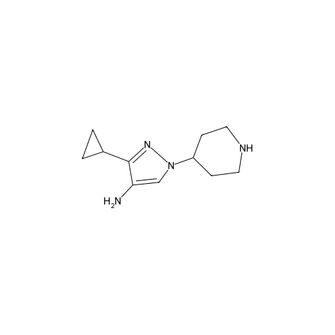 Nc1cn(C2CCNCC2)nc1C1CC1